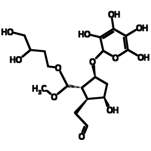 COC(OCCC(O)CO)[C@H]1[C@H](CC=O)[C@H](O)C[C@@H]1OC1OC(O)=C(O)C(O)=C1O